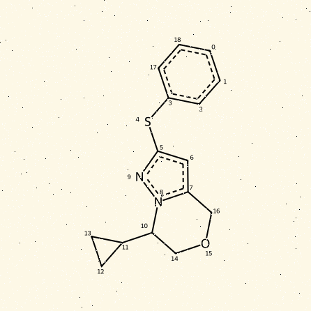 c1ccc(Sc2cc3n(n2)C(C2CC2)COC3)cc1